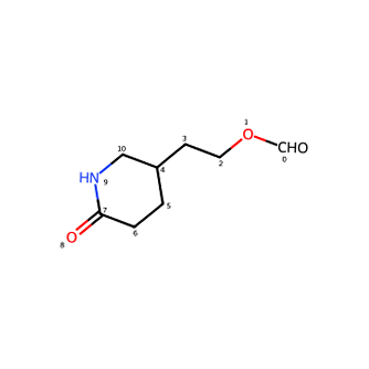 O=COCCC1CCC(=O)NC1